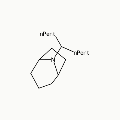 CCCCCC(CCCCC)N1C2CCCC1CC2